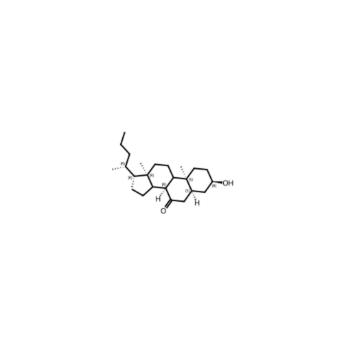 CCC[C@@H](C)[C@H]1CCC2[C@@H]3C(=O)C[C@@H]4C[C@H](O)CC[C@]4(C)C3CC[C@@]21C